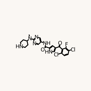 CN(c1ncc(NC(=O)c2cc(C(=O)c3c(Cl)ccc(Cl)c3F)c[nH]2)cn1)C1CCNCC1